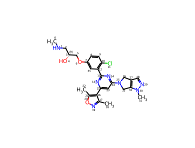 CNC[C@@H](O)COc1ccc(Cl)c(-c2nc(-c3c(C)noc3C)cc(N3Cc4cnn(C)c4C3)n2)c1